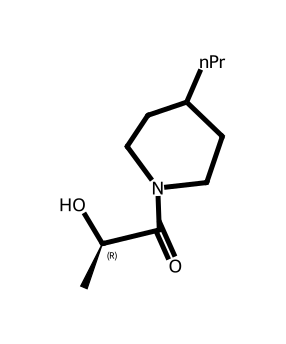 CCCC1CCN(C(=O)[C@@H](C)O)CC1